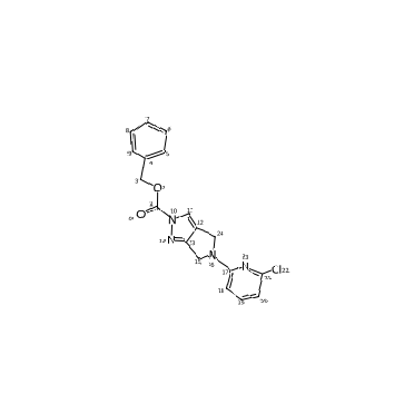 O=C(OCc1ccccc1)n1cc2c(n1)CN(c1cccc(Cl)n1)C2